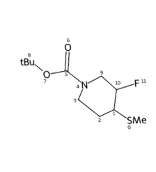 CSC1CCN(C(=O)OC(C)(C)C)CC1F